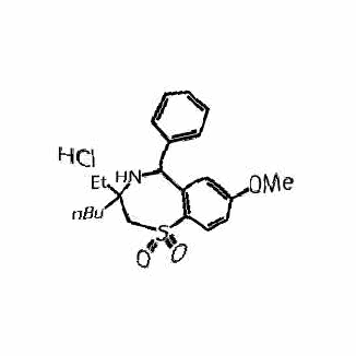 CCCCC1(CC)CS(=O)(=O)c2ccc(OC)cc2C(c2ccccc2)N1.Cl